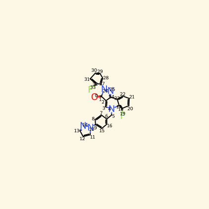 O=c1c2cn(Cc3ccc(-n4cccn4)cc3)c3c(F)cccc3c-2nn1-c1ccccc1F